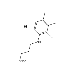 CCCCCCCCCCCCNc1ccc(C)c(C)c1C.I